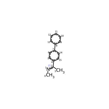 C/N=C(\C)c1ccc(-c2ccccc2)cc1